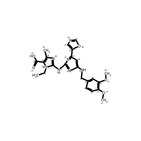 CC[SH]1C(Nc2nc(NCc3ccc(OC)c(OC)c3)cc(-c3cnco3)n2)=NC(C)=C1C(=O)O